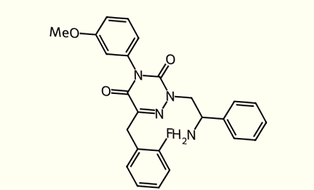 COc1cccc(-n2c(=O)c(Cc3ccccc3F)nn(CC(N)c3ccccc3)c2=O)c1